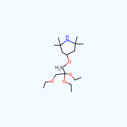 CCOCC(OCC)(OCC)[SiH2]OC1CC(C)(C)NC(C)(C)C1